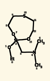 CCO[Si]1(CN(C)C)OCCSCCO1